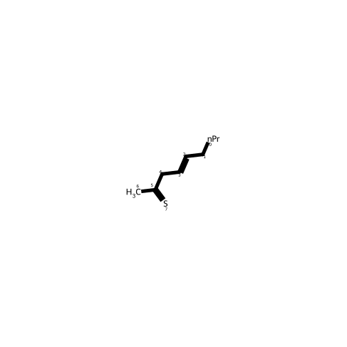 CCCCC=CCC(C)=S